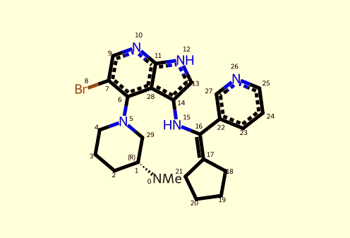 CN[C@@H]1CCCN(c2c(Br)cnc3[nH]cc(NC(=C4CCCC4)c4cccnc4)c23)C1